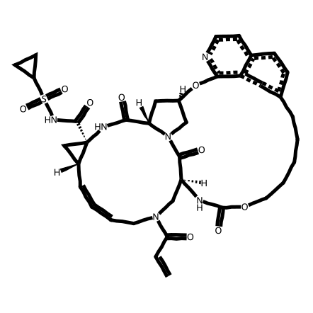 C=CC(=O)N1CC=C=C[C@@H]2C[C@@]2(C(=O)NS(=O)(=O)C2CC2)NC(=O)[C@@H]2C[C@@H]3CN2C(=O)[C@H](C1)NC(=O)OCCCCCc1ccc2ccnc(c2c1)O3